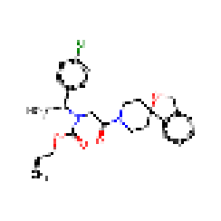 C=CCOC(=O)N(CC(=O)N1CCC2(CC1)OCc1ccccc12)[C@@H](C(=O)O)c1ccc(Cl)cc1